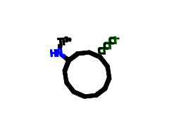 [Cl-].[Cl-].[Cl-].[Ti+3][NH]C1CCCCCCCCCCC1